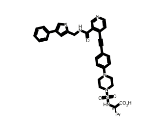 CC(C)[C@@H](NS(=O)(=O)N1CCN(c2ccc(C#Cc3ccncc3C(=O)NCc3cc(-c4ccccc4)cs3)cc2)CC1)C(=O)O